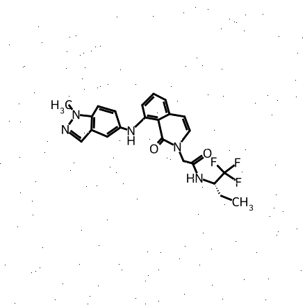 CC[C@H](NC(=O)Cn1ccc2cccc(Nc3ccc4c(cnn4C)c3)c2c1=O)C(F)(F)F